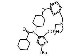 CC(C)(C)c1cc(N(C(=O)C2CCCCC2)[C@H]2CC[C@H](Oc3cc(CN4CCCC4)ccn3)CC2)c(C(=O)O)s1